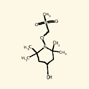 CC1(C)CC(O)CC(C)(C)N1OCS(C)(=O)=O